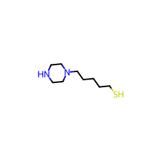 SCCCCCN1CCNCC1